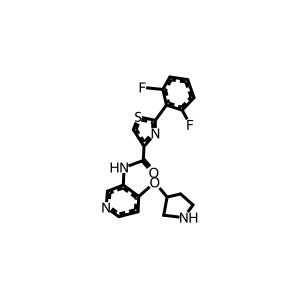 O=C(Nc1cnccc1OC1CCNC1)c1csc(-c2c(F)cccc2F)n1